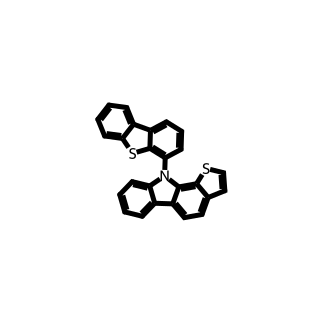 c1ccc2c(c1)sc1c(-n3c4ccccc4c4ccc5ccsc5c43)cccc12